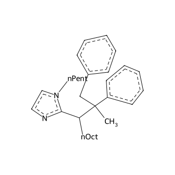 CCCCCCCCC(c1nccn1CCCCC)C(C)(Cc1ccccc1)c1ccccc1